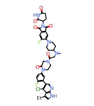 CCc1c[nH]c2ncc(-c3cc(N4CCN(C(=O)CN(C)C5CCN(c6cc7c(cc6F)C(=O)N(C6CCC(=O)NC6=O)C7=O)CC5)CC4=O)ccc3F)c(Cl)c12